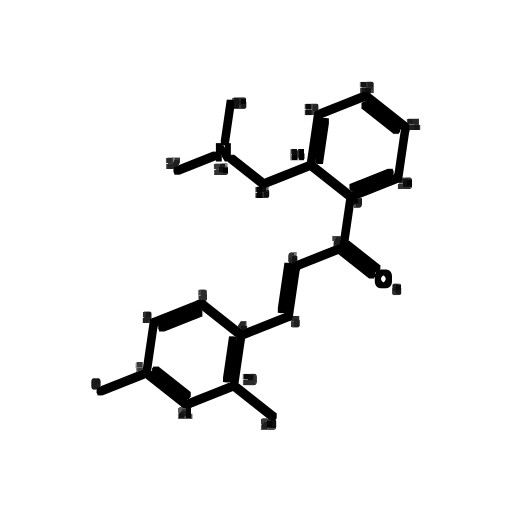 Cc1ccc(C=CC(=O)c2ccccc2CN(C)C)c(C)c1